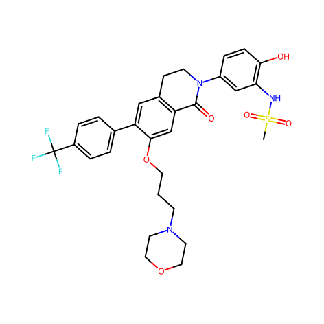 CS(=O)(=O)Nc1cc(N2CCc3cc(-c4ccc(C(F)(F)F)cc4)c(OCCCN4CCOCC4)cc3C2=O)ccc1O